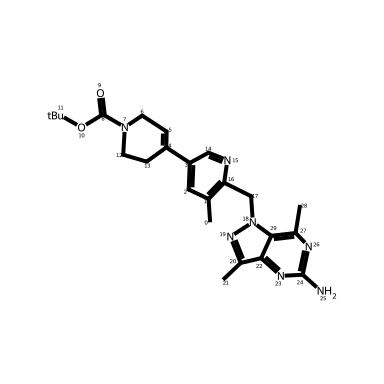 Cc1cc(C2=CCN(C(=O)OC(C)(C)C)CC2)cnc1Cn1nc(C)c2nc(N)nc(C)c21